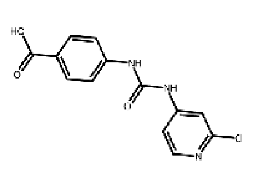 O=C(Nc1ccc(C(=O)O)cc1)Nc1ccnc(Cl)c1